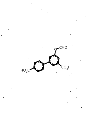 O=COc1cc(C(=O)O)cc(-c2ccc(C(=O)O)cc2)c1